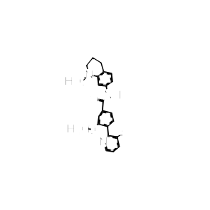 COc1cc(C(=O)Nc2ccc3c(c2)N(C)CCC3)ccc1-c1ncccc1Cl